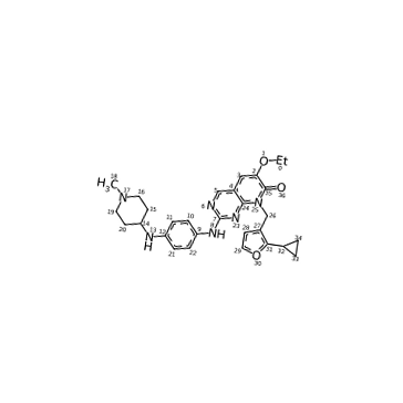 CCOc1cc2cnc(Nc3ccc(NC4CCN(C)CC4)cc3)nc2n(Cc2ccoc2C2CC2)c1=O